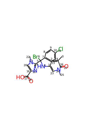 Cc1cc(NC(Br)(c2ccc(Cl)cc2)c2nc(C(=O)O)cn2C)cn(C)c1=O